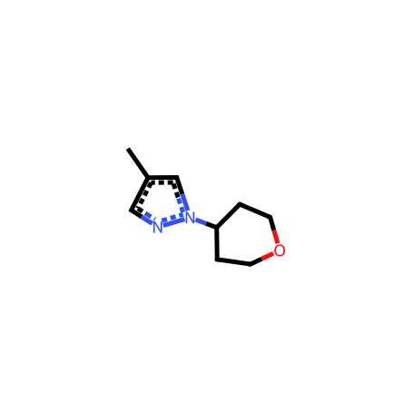 Cc1cnn(C2CCOCC2)c1